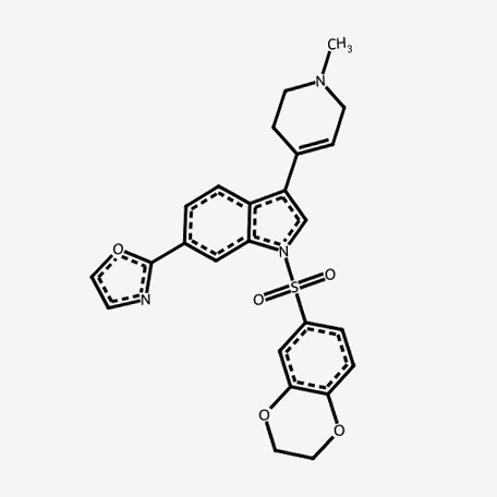 CN1CC=C(c2cn(S(=O)(=O)c3ccc4c(c3)OCCO4)c3cc(-c4ncco4)ccc23)CC1